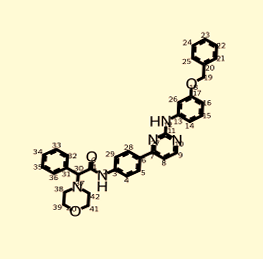 O=C(Nc1ccc(-c2ccnc(Nc3cccc(OCc4ccccc4)c3)n2)cc1)C(c1ccccc1)N1CCOCC1